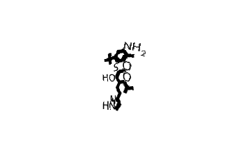 Cc1cc(SC2=C(O)C(CCc3cc[nH]n3)C(C(C)C)OC2=O)c(C(C)(C)C)cc1N